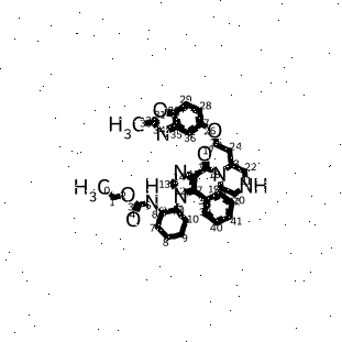 CCOC(=O)N[C@H]1CCCC[C@@H]1n1cnc(C(=O)N2CCNCC2CCOc2ccc3oc(C)nc3c2)c1-c1ccccc1